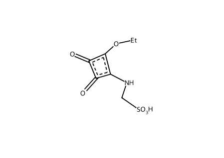 CCOc1c(NCS(=O)(=O)O)c(=O)c1=O